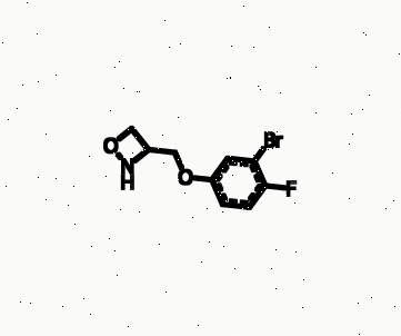 Fc1ccc(OCC2CON2)cc1Br